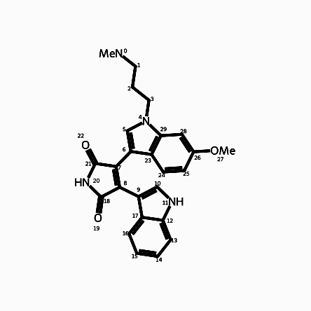 CNCCCn1cc(C2=C(c3c[nH]c4ccccc34)C(=O)NC2=O)c2ccc(OC)cc21